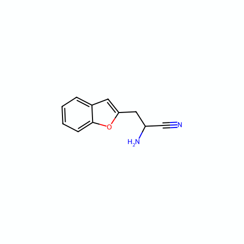 N#CC(N)Cc1cc2ccccc2o1